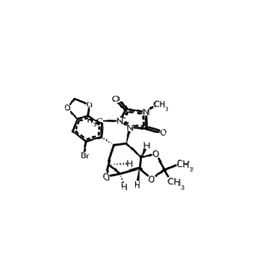 Cn1c(=O)n(C)n([C@H]2[C@@H]3OC(C)(C)O[C@@H]3[C@H]3O[C@H]3[C@@H]2c2cc3c(cc2Br)OCO3)c1=O